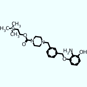 C[Si](C)(C)CCOC(=O)N1CCN(Cc2cccc(COc3cccc(O)c3N)c2)CC1